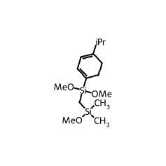 CO[Si](C)(C)C[Si](OC)(OC)C1=CC=C(C(C)C)CC1